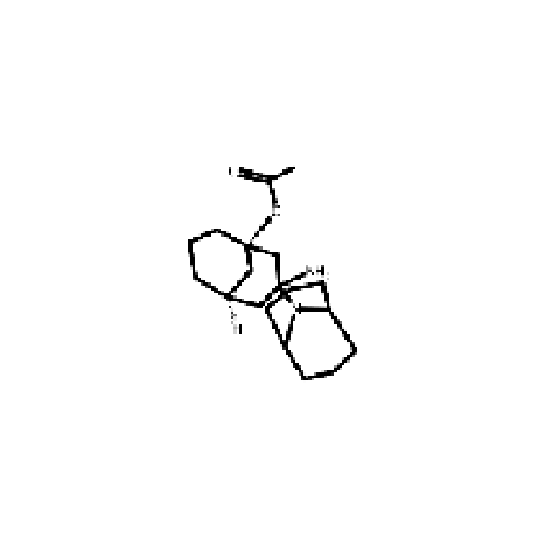 CC(=O)O[C@@]12CCC[C@H](CC(N)(N3C4CCCC3CCC4)C1)C2